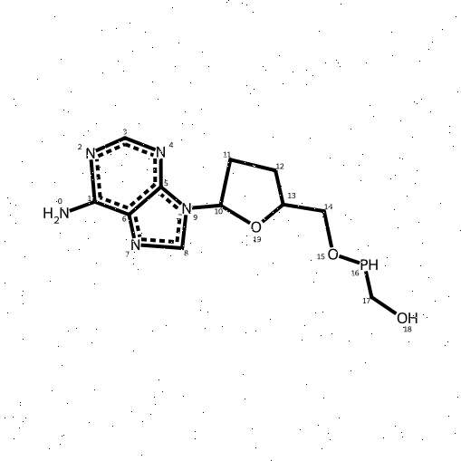 Nc1ncnc2c1ncn2C1CCC(COPCO)O1